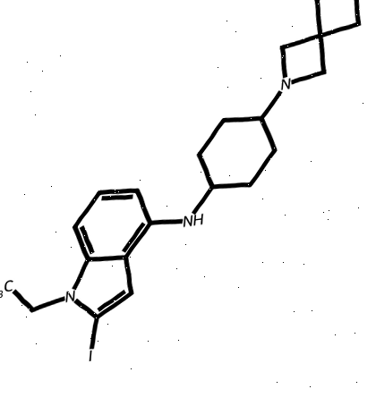 FC(F)(F)Cn1c(I)cc2c(NC3CCC(N4CC5(COC5)C4)CC3)cccc21